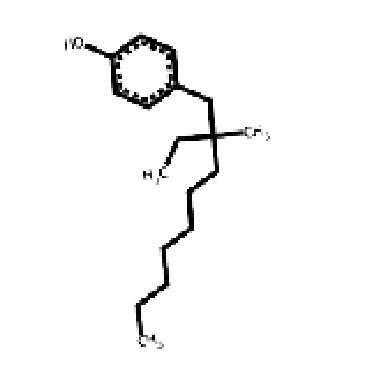 CCCCCCCC(C)(CC)Cc1ccc(O)cc1